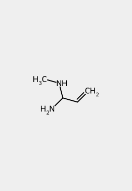 C=CC(N)NC